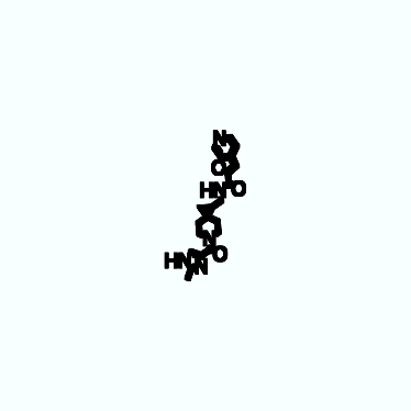 Cc1nc(C(=O)N2CCC3(CC2)CC3CNC(=O)c2cc3ccncc3o2)c[nH]1